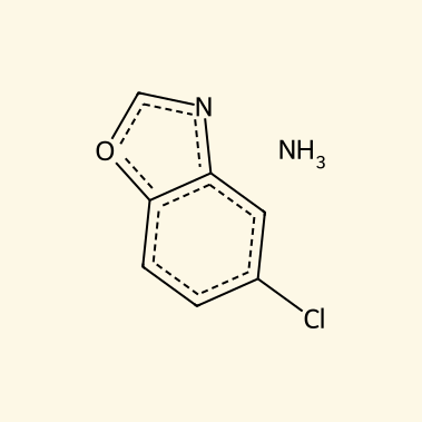 Clc1ccc2ocnc2c1.N